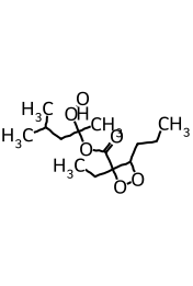 CCCC1OOC1(CC)C(=O)OC(C)(CC(C)C)OO